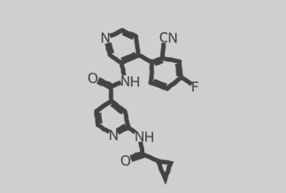 N#Cc1cc(F)ccc1-c1ccncc1NC(=O)c1ccnc(NC(=O)C2CC2)c1